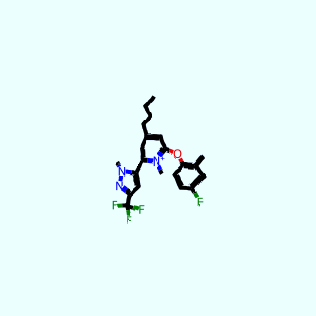 CCCCc1cc(Oc2ccc(F)cc2C)[n+](C)c(-c2cc(C(F)(F)F)nn2C)c1